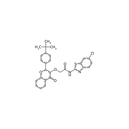 CC(C)(C)c1ccc(-c2oc3ccccc3c(=O)c2OCC(=O)Nc2nc3ccc(Cl)cc3s2)cc1